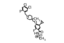 CC1(COc2cc(F)c(C(=O)NS(C)(=O)=O)cc2C2CC2)CCN(Cc2cc(Cl)c(Cl)cc2F)CC1